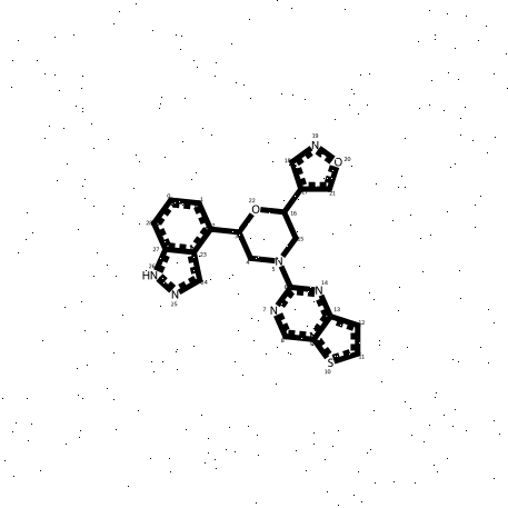 c1cc(C2CN(c3ncc4sccc4n3)CC(c3cnoc3)O2)c2cn[nH]c2c1